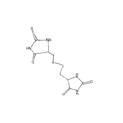 O=C1NC(=O)C(CSSCC2NC(=O)NC2=O)N1